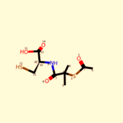 CC(=O)SC(C)(C)C(=O)N[C@@H](CS)C(=O)O